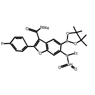 CCN(c1cc2oc(-c3ccc(F)cc3)c(C(=O)NC)c2cc1B1OC(C)(C)C(C)(C)O1)[SH](=O)=O